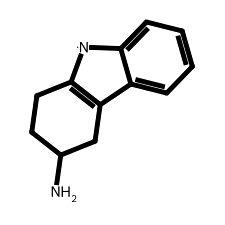 NC1CCC2=C(C1)c1ccccc1[N]2